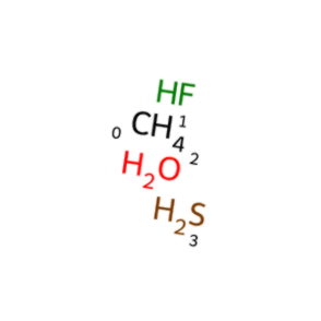 C.F.O.S